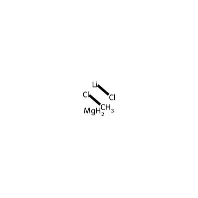 CCl.[Li][Cl].[MgH2]